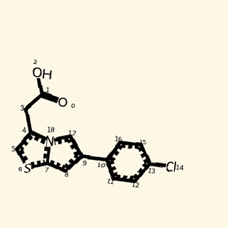 O=C(O)Cc1csc2cc(-c3ccc(Cl)cc3)cn12